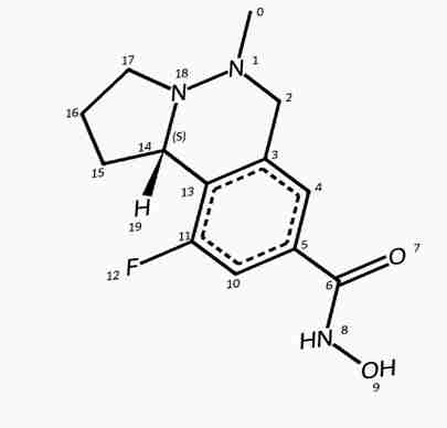 CN1Cc2cc(C(=O)NO)cc(F)c2[C@@H]2CCCN21